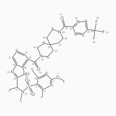 COc1cc(C)c(S(=O)(=O)N(C)C(C)c2nc3cccc(C(=O)N4CCC5(CCN(C(=O)c6ccc(C(F)(F)F)cn6)CC5)CC4)c3[nH]2)c(C)c1